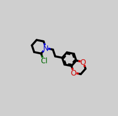 ClC1CCCCN1CCc1ccc2c(c1)OCCO2